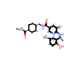 COC(=O)[C@H]1CC[C@H](CNC(=O)c2cnc(N[C@@H](C)c3cc(C#N)ccc3O)c(Cl)c2)CC1